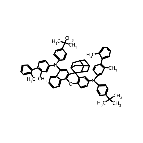 Cc1ccccc1-c1ccc(N(c2ccc(C(C)(C)C)cc2)c2ccc3c(c2)C2(c4cc(N(c5ccc(C(C)(C)C)cc5)c5ccc(-c6ccccc6C)c(C)c5)c5ccccc5c4O3)C3CC4CC(C3)CC2C4)cc1C